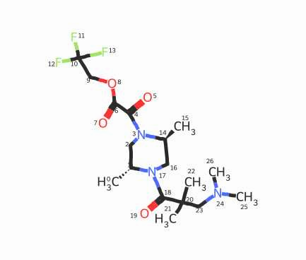 C[C@@H]1CN(C(=O)C(=O)OCC(F)(F)F)[C@@H](C)CN1C(=O)C(C)(C)CN(C)C